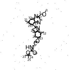 COCc1cnc2c(-c3nc4c(C)cc(OCCNC(=O)OC(C)(C)C)cc4s3)cc(C)cc2n1